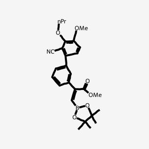 CCCOc1c(OC)ccc(-c2cccc(C(=CB3OC(C)(C)C(C)(C)O3)C(=O)OC)c2)c1C#N